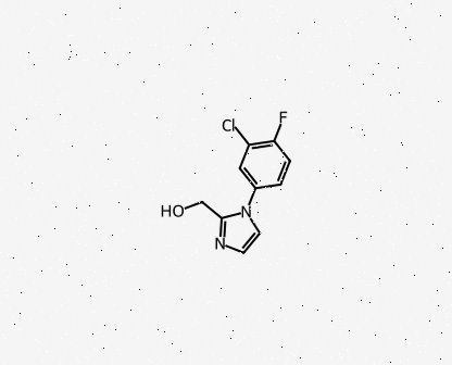 OCc1nccn1-c1ccc(F)c(Cl)c1